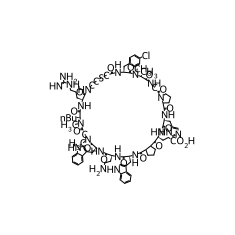 CCCC[C@H]1C(=O)N[C@@H](CCCNC(=N)N)C(=O)NCCSCC(=O)N[C@@H](Cc2ccc(Cl)cc2)C(=O)N(C)[C@@H](C)C(=O)NCC(=O)N2CCCC2C(=O)N[C@@H](Cc2cnc[nH]2)C(=O)N[C@@H](CCC(=O)O)C(=O)C2CCCC2C(=O)N[C@@H](Cc2c[nH]c3ccccc23)C(=O)N[C@@H](CCN)C(=O)N[C@@H](Cc2c[nH]c3ccccc23)C(=O)N(C)CC(=O)N1C